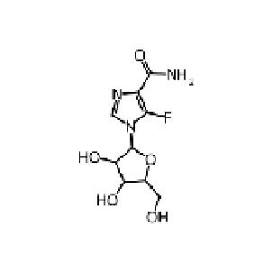 NC(=O)c1ncn(C2OC(CO)C(O)C2O)c1F